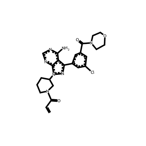 C=CC(=O)N1CCCC(n2nc(-c3cc(Cl)cc(C(=O)N4CCOCC4)c3)c3c(N)ncnc32)C1